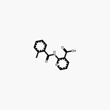 Cc1ccccc1C(=O)Nc1ncccc1C(=O)O